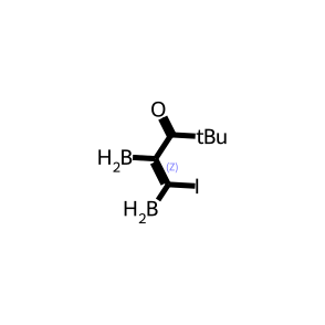 B/C(I)=C(\B)C(=O)C(C)(C)C